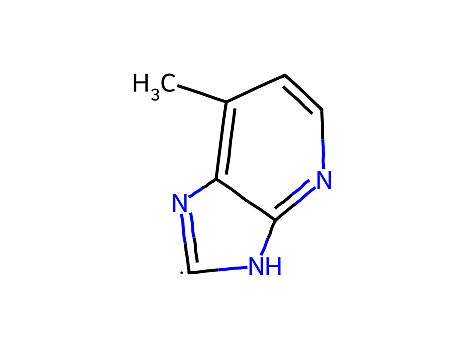 Cc1ccnc2[nH][c]nc12